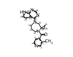 Cc1cnccc1C(=O)N1CCCN(c2ncnc3[nH]ccc23)CC12CC2